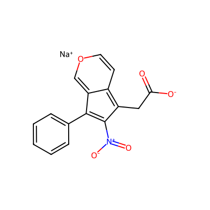 O=C([O-])Cc1c2ccocc-2c(-c2ccccc2)c1[N+](=O)[O-].[Na+]